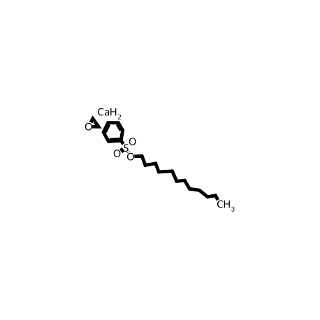 C1CO1.CCCCCCCCCCCCOS(=O)(=O)c1ccccc1.[CaH2]